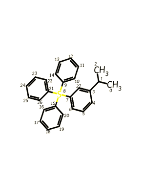 CC(C)c1cccc(S(c2ccccc2)(c2ccccc2)c2ccccc2)c1